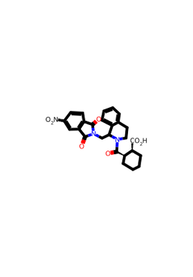 O=C(O)[C@H]1CCCC[C@H]1C(=O)N1CCc2ccccc2C1CN1C(=O)c2ccc([N+](=O)[O-])cc2C1=O